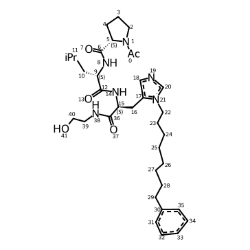 CC(=O)N1CCC[C@H]1C(=O)N[C@@H](CC(C)C)C(=O)N[C@@H](Cc1cncn1CCCCCCCCc1ccccc1)C(=O)NCCO